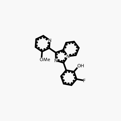 COc1cccnc1-c1nc(-c2cccc(F)c2O)n2ccccc12